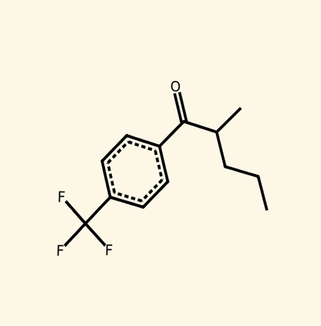 CCCC(C)C(=O)c1ccc(C(F)(F)F)cc1